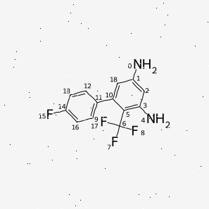 Nc1cc(N)c(C(F)(F)F)c(-c2ccc(F)cc2)c1